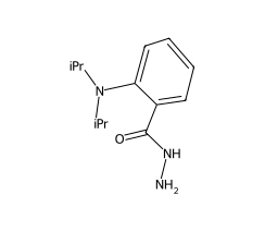 CC(C)N(c1ccccc1C(=O)NN)C(C)C